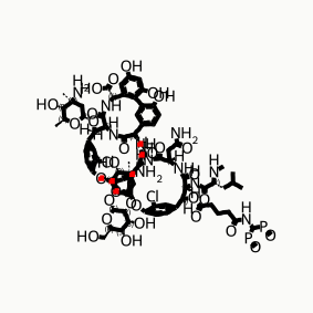 CN[C@H](CC(C)C)C(=O)N[C@H]1C(=O)N[C@@H](CC(N)=O)C(=O)N[C@H]2C(=O)N[C@H]3C(=O)N[C@H](C(=O)N[C@H](C(=O)O)c4cc(O)cc(O)c4-c4cc3ccc4O)[C@H](O[C@H]3C[C@](C)(N)[C@@H](O)[C@H](C)O3)c3ccc(c(Cl)c3)Oc3cc2cc(c3O[C@@H]2O[C@H](CO)[C@@H](O)[C@H](O)[C@H]2O[C@H]2C[C@](C)(N)[C@@H](O)[C@H](C)O2)Oc2ccc(cc2Cl)[C@H]1OC(=O)CCCC(=O)NC(P=O)P=O